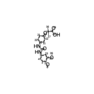 COc1ccc(NC(=O)Nc2ccc(OC(C)(C)C(=O)O)cc2)cc1OC